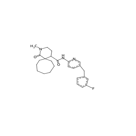 CN1CCC(C(=O)Nc2ccc(Cc3cccc(F)c3)cn2)C2(CCCCCCC2)C1=O